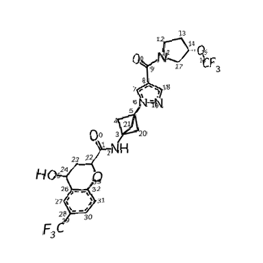 O=C(NC12CC(n3cc(C(=O)N4CC[C@H](OC(F)(F)F)C4)cn3)(C1)C2)C1CC(O)c2cc(C(F)(F)F)ccc2O1